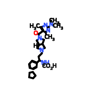 C1CCCC1.Cc1nc(N(C)C)nc(C)c1C(=O)N1CC2CN(CCC(NC(=O)O)c3ccccc3)C[C@@H]2C1